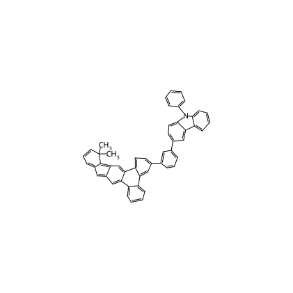 CC1(C)C=CC=C2C=c3cc4c5ccccc5c5cc(-c6cccc(-c7ccc8c(c7)c7ccccc7n8-c7ccccc7)c6)ccc5c4cc3=C21